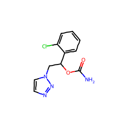 NC(=O)OC(Cn1ccnn1)c1ccccc1Cl